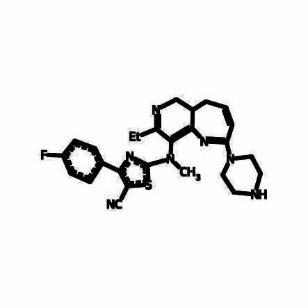 CCC1=NCC2CC=CC(N3CCNCC3)=NC2=C1N(C)c1nc(-c2ccc(F)cc2)c(C#N)s1